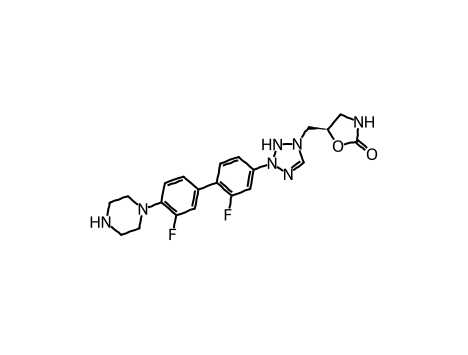 O=C1NC[C@H](CN2C=NN(c3ccc(-c4ccc(N5CCNCC5)c(F)c4)c(F)c3)N2)O1